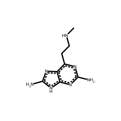 CNCCc1nc(N)nc2[nH]c(N)nc12